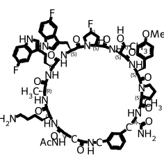 COc1ccc(C[C@@H]2NC(=O)[C@H]([C@@H](C)O)NC(=O)[C@@H]3C[C@H](F)CN3C(=O)[C@H](Cc3c[nH]c4ccc(F)cc34)NC(=O)[C@H](CCc3c[nH]c4ccc(F)cc34)NC(=O)[C@@H](C)NC(=O)[C@H](CCCCN)NC(=O)[C@@H](NC(C)=O)CC(=O)NCc3cccc(c3)C[C@@H](C(N)=O)NC(=O)[C@]3(C)CCCN3C2=O)cc1